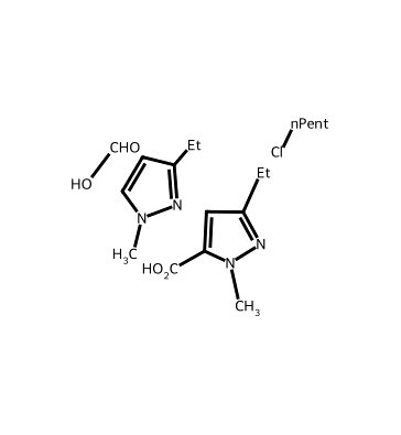 CCCCCCl.CCc1cc(C(=O)O)n(C)n1.CCc1ccn(C)n1.O=CO